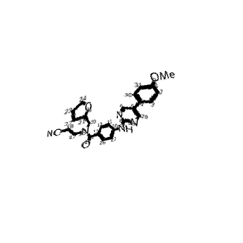 COc1ccc(-c2cnc(Nc3ccc(C(=O)N(CCC#N)CC4CCCO4)cc3)nc2)cc1